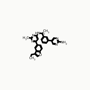 CCc1coc2ccc(-c3cc(N[C@@H](C)c4cccc(-c5cnc(N)nc5)c4)nc(C)n3)cc12